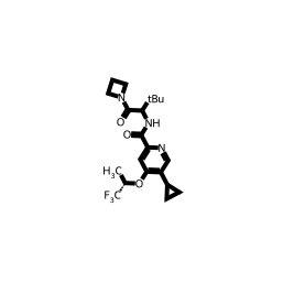 C[C@H](Oc1cc(C(=O)NC(C(=O)N2CCC2)C(C)(C)C)ncc1C1CC1)C(F)(F)F